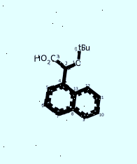 CC(C)(C)OC(C(=O)O)c1cccc2ccccc12